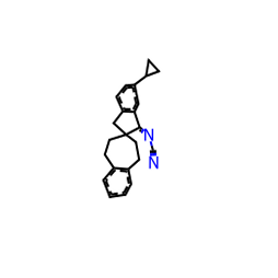 N#C/N=C1/c2cc(C3CC3)ccc2CC12CCc1ccccc1CC2